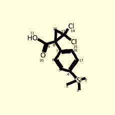 C[Si](C)(C)c1ccc(C2(C(=O)O)CC2(Cl)Cl)cc1